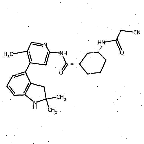 Cc1cnc(NC(=O)[C@H]2CCC[C@@H](NC(=O)CC#N)C2)cc1-c1cccc2c1CC(C)(C)N2